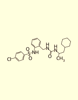 CC(CC1CCCCC1)NC(=O)NCc1ccccc1NS(=O)(=O)c1ccc(Cl)cc1